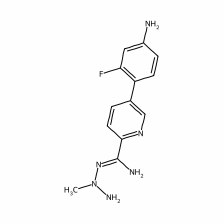 CN(N)/N=C(\N)c1ccc(-c2ccc(N)cc2F)cn1